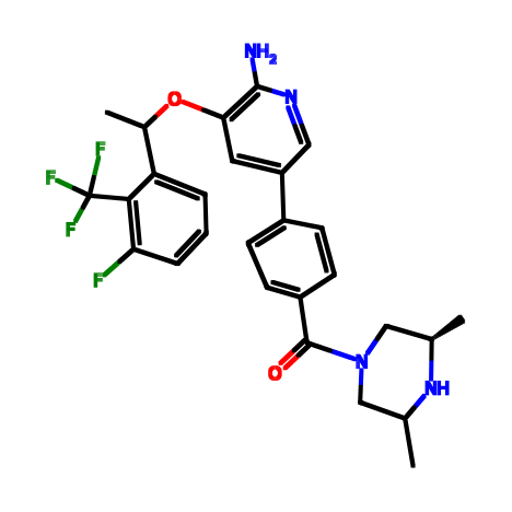 CC1CN(C(=O)c2ccc(-c3cnc(N)c(OC(C)c4cccc(F)c4C(F)(F)F)c3)cc2)C[C@@H](C)N1